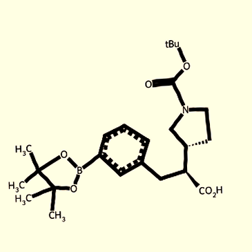 CC(C)(C)OC(=O)N1CC[C@H]([C@H](Cc2cccc(B3OC(C)(C)C(C)(C)O3)c2)C(=O)O)C1